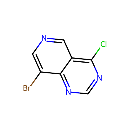 Clc1ncnc2c(Br)cncc12